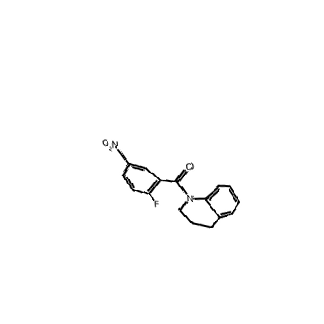 O=C(c1cc([N+](=O)[O-])ccc1F)N1CCCc2ccccc21